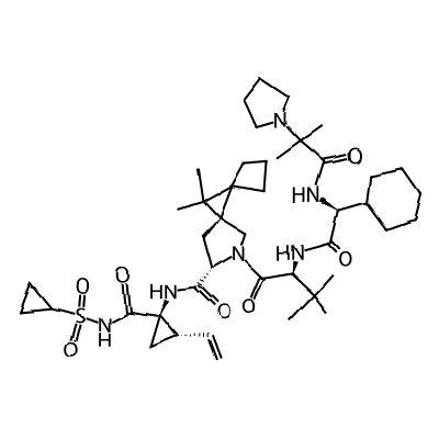 C=C[C@@H]1C[C@]1(NC(=O)[C@@H]1C[C@@]2(CN1C(=O)[C@@H](NC(=O)[C@@H](NC(=O)C(C)(C)N1CCCC1)C1CCCCC1)C(C)(C)C)C(C)(C)C21CCC1)C(=O)NS(=O)(=O)C1CC1